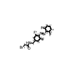 O=C(CBr)NCc1cc(F)c(N=Nc2c(F)cccc2F)c(F)c1